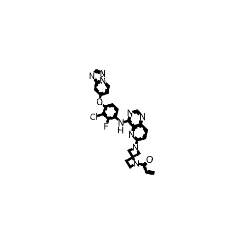 C=CC(=O)N1CCC12CN(c1ccc3ncnc(Nc4ccc(Oc5ccn6ncnc6c5)c(Cl)c4F)c3n1)C2